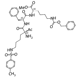 COC(=O)[C@H](CCCCNC(=O)OCc1ccccc1)NC(=O)[C@H](Cc1ccccc1)NC(=O)[C@](N)(CCCCNS(=O)(=O)c1ccc(C)cc1)C(C)=O